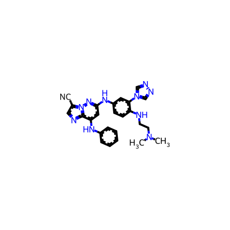 CN(C)CCNc1ccc(Nc2cc(Nc3ccccc3)c3ncc(C#N)n3n2)cc1-n1cnnc1